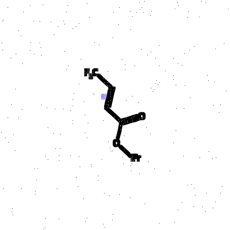 CC(C)OC(=O)/C=C/C(F)(F)F